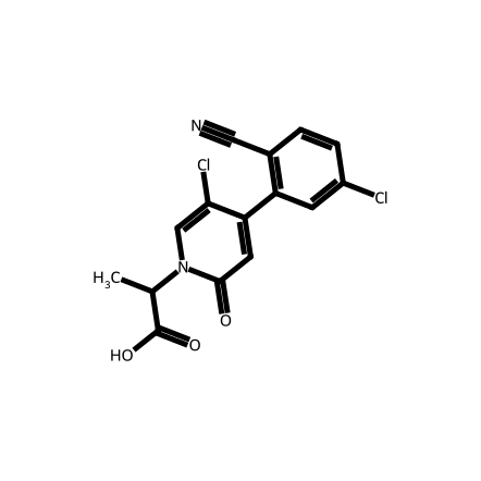 CC(C(=O)O)n1cc(Cl)c(-c2cc(Cl)ccc2C#N)cc1=O